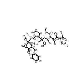 CC[C@H](C)[C@@H](C(C)CC(C)(OC)N1CCC[C@H]1[C@H](C)[C@@H](C)C(C)(N[C@@H](Cc1ccccc1)C(=O)OC)OC)N(C)C(=O)[C@@H](N)C(C)C